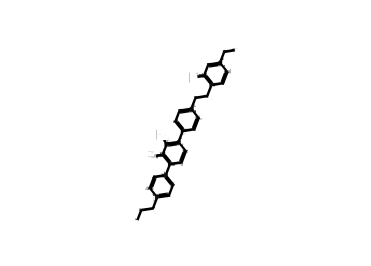 CCCc1ccc(-c2ccc(-c3ccc(CCc4ccc(CC)cc4F)cc3)c(F)c2F)cc1